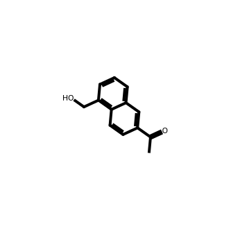 CC(=O)c1ccc2c(CO)cccc2c1